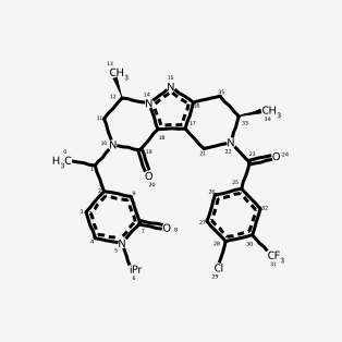 CC(c1ccn(C(C)C)c(=O)c1)N1C[C@@H](C)n2nc3c(c2C1=O)CN(C(=O)c1ccc(Cl)c(C(F)(F)F)c1)[C@H](C)C3